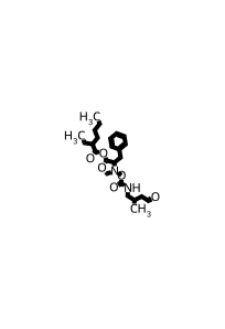 CCCCC(CC)C(=O)OC1OCN(OC(=O)NCC(C)CC=O)C1Cc1ccccc1